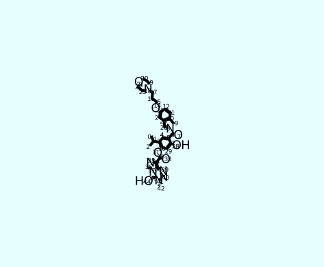 CC(C)c1cc(C(=O)N2Cc3ccc(OCCCN4CCOCC4)cc3C2)c(O)cc1OC(=O)c1ncn2c1N=NN(C)C2O